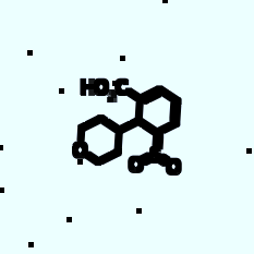 O=C(O)C1=CC=CC(=S(=O)=O)C1C1CCOCC1